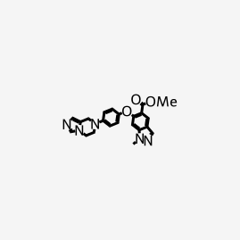 COC(=O)c1cc2cnn(C)c2cc1Oc1ccc(N2CCn3cncc3C2)cc1